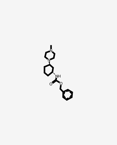 CN1CCN([C@@H]2CCC[C@@H](NC(=O)OCc3ccccc3)C2)CC1